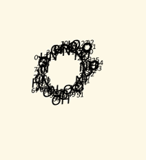 CC[C@@H](C)[C@@H]1NC(=O)[C@@H]2CCCN2C(=O)C([C@@H](O)c2ccccc2)N(C)C(=O)[C@H](Cc2ccccc2)NC(=O)[C@H](C(C)C)N(C)C(=O)[C@@H]([C@H](C)CC)OC(=O)[C@H](C(C)(C)O)N(C)C(=O)[C@H](CC(C)C)NC(=O)[C@H](C(C)C)N(C)C1=O